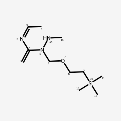 C=C(/N=C\C)N(COCC[Si](C)(C)C)NC